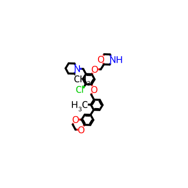 Cc1c(COc2cc(OCC3CNCCO3)c(CN3CCCC[C@H]3C)cc2Cl)cccc1-c1ccc2c(c1)OCCO2